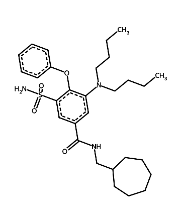 CCCCN(CCCC)c1cc(C(=O)NCC2CCCCCC2)cc(S(N)(=O)=O)c1Oc1ccccc1